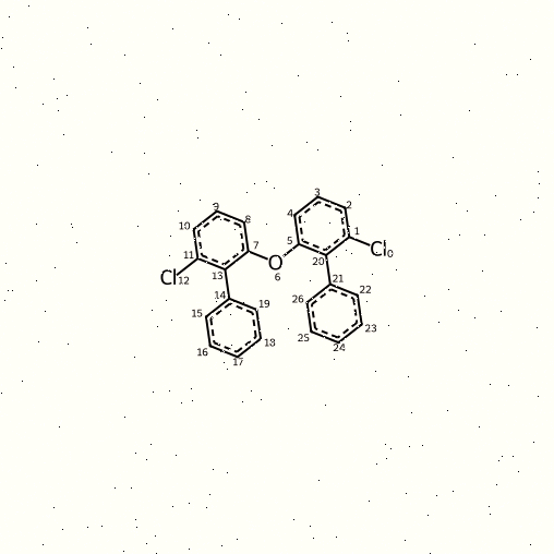 Clc1cccc(Oc2cccc(Cl)c2-c2ccccc2)c1-c1ccccc1